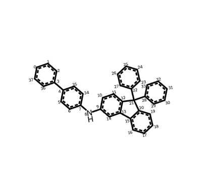 c1ccc(-c2ccc(Nc3ccc4c(c3)-c3ccccc3C4(c3ccccc3)c3ccccc3)cc2)cc1